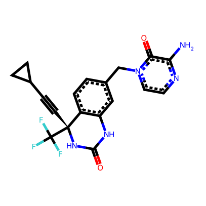 Nc1nccn(Cc2ccc3c(c2)NC(=O)N[C@]3(C#CC2CC2)C(F)(F)F)c1=O